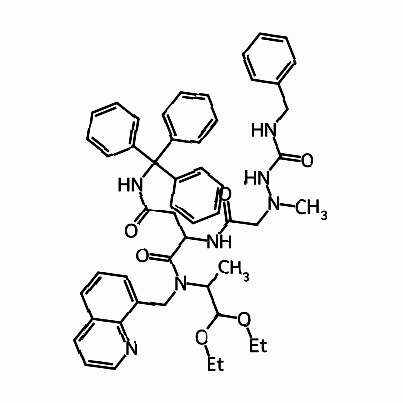 CCOC(OCC)C(C)N(Cc1cccc2cccnc12)C(=O)C(CC(=O)NC(c1ccccc1)(c1ccccc1)c1ccccc1)NC(=O)CN(C)NC(=O)NCc1ccccc1